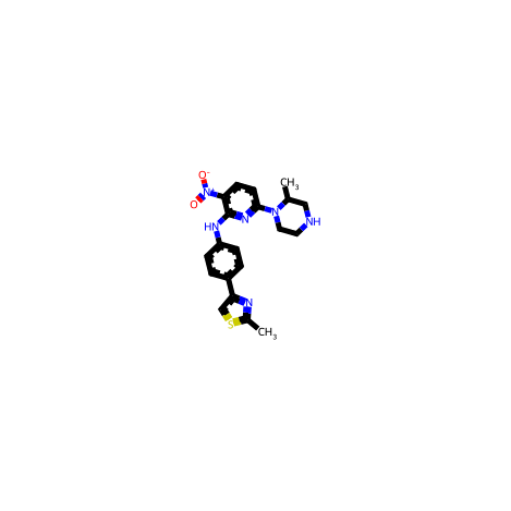 Cc1nc(-c2ccc(Nc3nc(N4CCNCC4C)ccc3[N+](=O)[O-])cc2)cs1